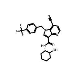 N#Cc1ccnc2c(C(=O)N[C@H]3CCCCC3O)cn(Cc3ccc(C(F)(F)F)cc3)c12